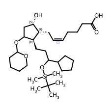 CC(C)(C)[Si](C)(C)OC(CC[C@H]1C(OC2CCCCO2)C[C@H](O)[C@@H]1C/C=C\CCCC(=O)O)C1CCCC1